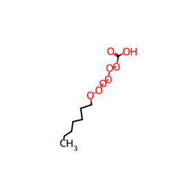 CCCCCCCOOOOOOC(=O)O